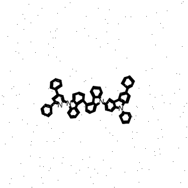 c1ccc(-c2cc(-c3ccccc3)nc(-n3c4ccccc4c4c(-c5cccc6c5c5ccccc5n6-c5ccc6c(c5)c5cc(-c7ccccc7)ccc5n6-c5ccccc5)cccc43)c2)cc1